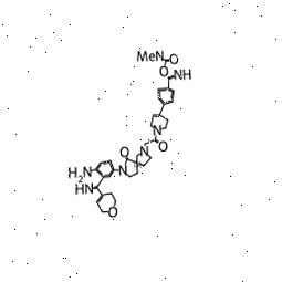 CNC(=O)OC(=N)c1ccc(C2=CCN(C(=O)CN3CC[C@]4(CCN(c5ccc(N)c(C(=N)C6=CCOCC6)c5)C4=O)C3)CC2)cc1